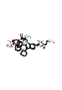 CCCS(=O)(=O)NC(=O)c1ccc2c(C3CCCCC3)c(-c3ccc(OC)cc3C)n(CC(C)(C)C(=O)N3CCN(C)C4(CCCCC4)C3)c2c1